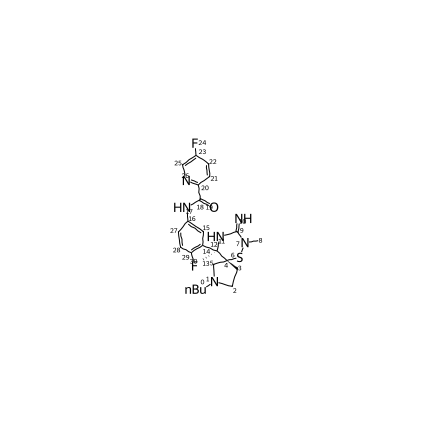 CCCCN1CC[C@]2(C1)SN(C)C(=N)N[C@]2(C)c1cc(NC(=O)c2ccc(F)cn2)ccc1F